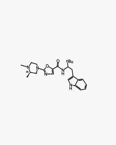 CCCCC(Cc1c[nH]c2ccccc12)NC(=O)c1cnc(N2CCN(C)[C@H](C)C2)o1